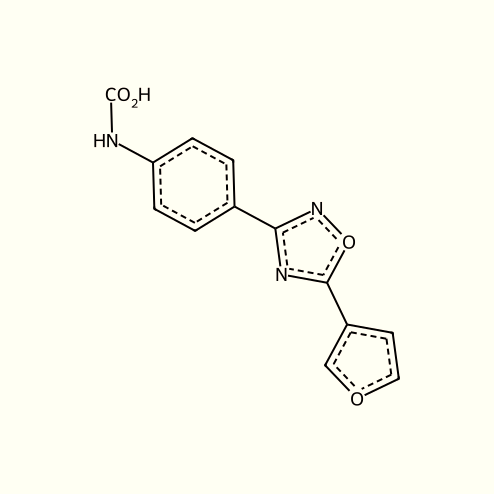 O=C(O)Nc1ccc(-c2noc(-c3ccoc3)n2)cc1